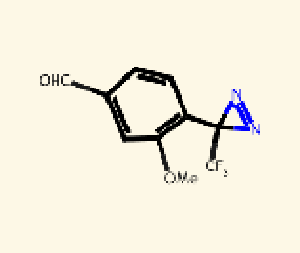 COc1cc(C=O)ccc1C1(C(F)(F)F)N=N1